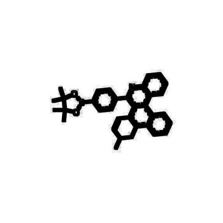 CC1C=Cc2c(c3ccccc3c3c2c(-c2ccc(B4OC(C)(C)C(C)(C)O4)cc2)nc2ccccc23)C1